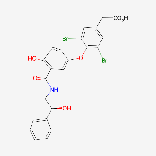 O=C(O)Cc1cc(Br)c(Oc2ccc(O)c(C(=O)NC[C@@H](O)c3ccccc3)c2)c(Br)c1